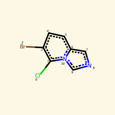 Clc1c(Br)ccc2cncn12